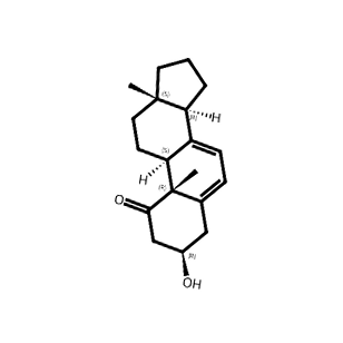 C[C@@]12CCC[C@H]1C1=CC=C3C[C@@H](O)CC(=O)[C@]3(C)[C@H]1CC2